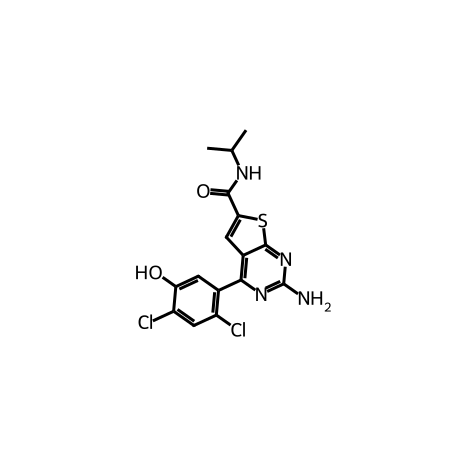 CC(C)NC(=O)c1cc2c(-c3cc(O)c(Cl)cc3Cl)nc(N)nc2s1